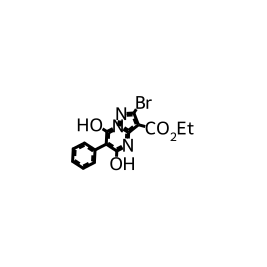 CCOC(=O)c1c(Br)nn2c(O)c(-c3ccccc3)c(O)nc12